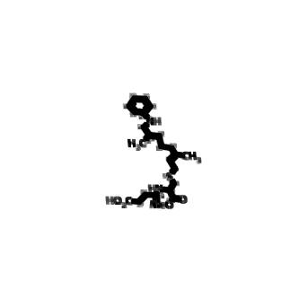 COC(=O)C(CSCC=C(C)CCC=C(C)CNc1ccccc1)NC(=O)CCC(=O)O